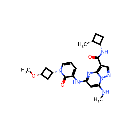 CNc1cc(Nc2cccn([C@H]3C[C@@H](OC)C3)c2=O)nc2c(C(=O)N[C@H]3CC[C@H]3C)cnn12